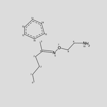 CCCCC(C)=NOCCN.c1ccccc1